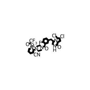 N#Cc1ccc[n+](OC(=O)C(F)(F)F)c1N1CCN(C(=O)c2cc(Cc3c[nH]c(=O)c4cc(Cl)c(Cl)n34)ccc2F)CC1